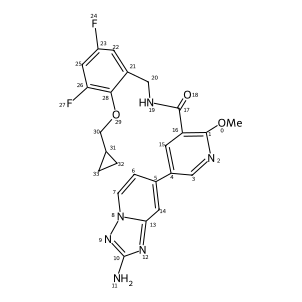 COc1ncc(-c2ccn3nc(N)nc3c2)cc1C(=O)NCc1cc(F)cc(F)c1OCC1CC1